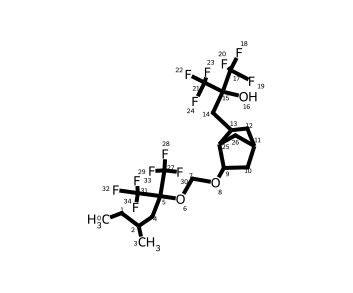 CCC(C)CC(OCOC1CC2CC(CC(O)(C(F)(F)F)C(F)(F)F)C1C2)(C(F)(F)F)C(F)(F)F